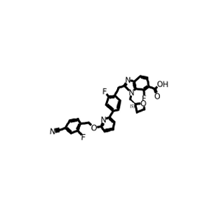 N#Cc1ccc(COc2cccc(-c3ccc(Cc4nc5ccc(C(=O)O)c(F)c5n4C[C@@H]4CCO4)c(F)c3)n2)c(F)c1